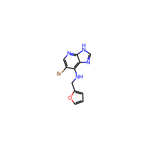 Brc1cnc2[nH]cnc2c1NCc1ccco1